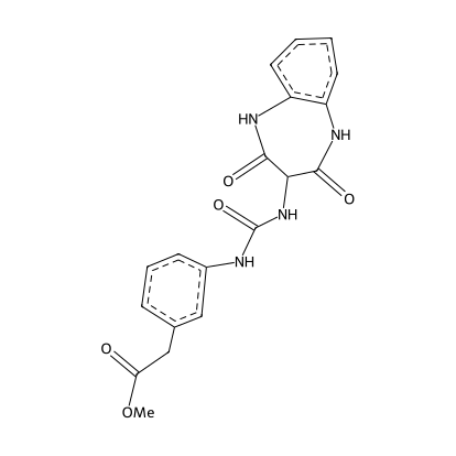 COC(=O)Cc1cccc(NC(=O)NC2C(=O)Nc3ccccc3NC2=O)c1